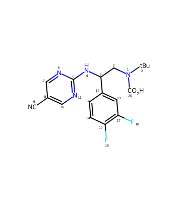 CC(C)(C)N(CC(Nc1ncc(C#N)cn1)c1ccc(F)c(F)c1)C(=O)O